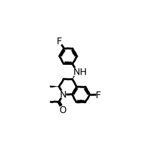 CC(=O)N1c2ccc(F)cc2[C@@H](Nc2ccc(F)cc2)C[C@@H]1C